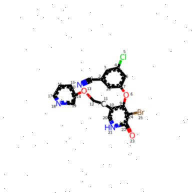 N#Cc1cc(Cl)cc(Oc2c(CCOc3cccnc3)c[nH]c(=O)c2Br)c1